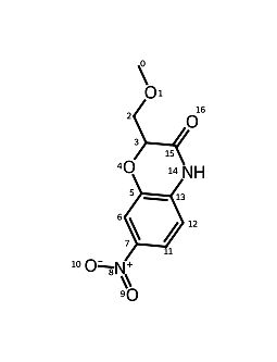 COCC1Oc2cc([N+](=O)[O-])ccc2NC1=O